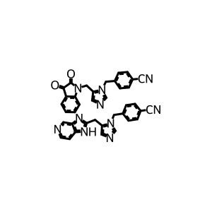 N#Cc1ccc(Cn2cncc2CN2C(=O)C(=O)c3ccccc32)cc1.N#Cc1ccc(Cn2cncc2Cc2nc3cnccc3[nH]2)cc1